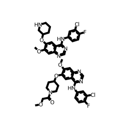 COCC(=O)N1CCC(Oc2cc3c(Nc4ccc(F)c(Cl)c4)ncnc3cc2OC)CC1.COc1cc2ncnc(Nc3ccc(F)c(Cl)c3)c2cc1OC1CCCNC1